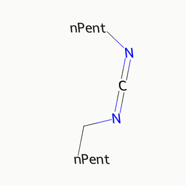 CCCCCCN=C=NCCCCC